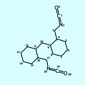 O=C=NC[C]1CCCCC1CC1CCCC[C]1CN=C=O